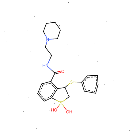 O=C(NCCN1CCCCC1)c1cccc2c1C(Sc1ccccc1)CS2(O)O